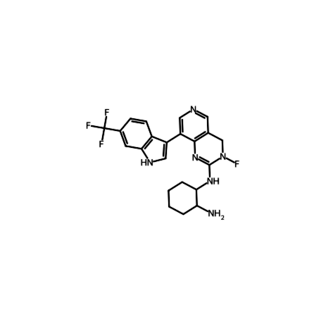 NC1CCCCC1NC1=Nc2c(cncc2-c2c[nH]c3cc(C(F)(F)F)ccc23)CN1F